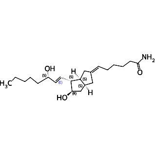 CCCCC[C@H](O)/C=C/[C@@H]1[C@H]2CC(=CCCCCC(N)=O)C[C@H]2C[C@H]1O